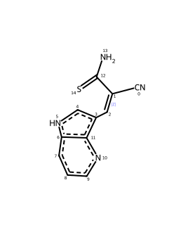 N#C/C(=C/c1c[nH]c2cccnc12)C(N)=S